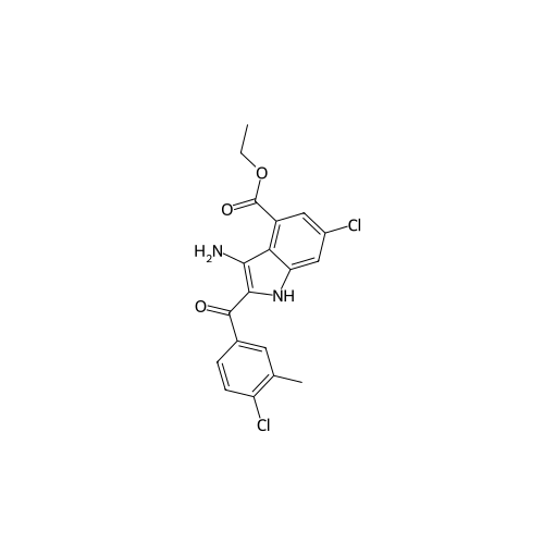 CCOC(=O)c1cc(Cl)cc2[nH]c(C(=O)c3ccc(Cl)c(C)c3)c(N)c12